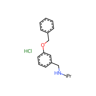 CC(C)NCc1cccc(OCc2ccccc2)c1.Cl